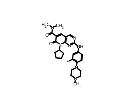 CN1CCN(c2ccc(Nc3ncc4cc(C(=O)N(C)C)c(=O)n(C5CCCC5)c4n3)cc2F)CC1